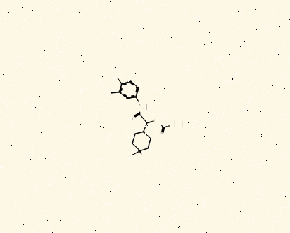 CC(C)(C)c1ccc(NC(=O)C(OC(N)=O)C2CCC(F)(F)CC2)cc1F